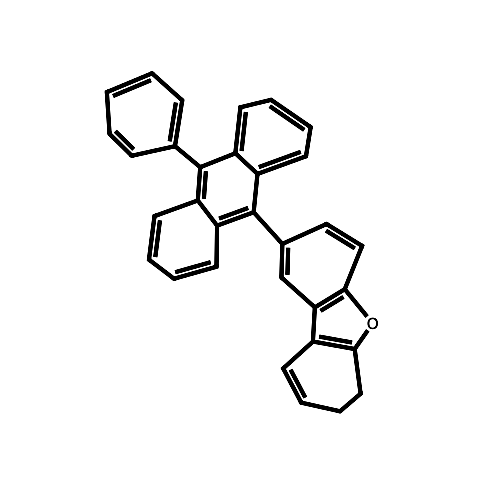 C1=Cc2c(oc3ccc(-c4c5ccccc5c(-c5ccccc5)c5ccccc45)cc23)CC1